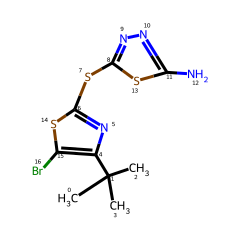 CC(C)(C)c1nc(Sc2nnc(N)s2)sc1Br